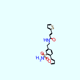 NS(=O)(=O)c1cc(CCNC(=O)C=Cc2cccs2)ccc1-c1ccco1